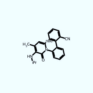 CCCCc1cc(C)c(NC(C)C)c(=O)n1-c1ccccc1-c1ccccc1C#N